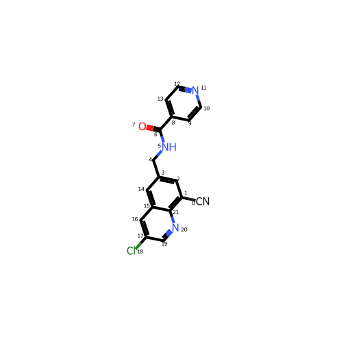 N#Cc1cc(CNC(=O)c2ccncc2)cc2cc(Cl)cnc12